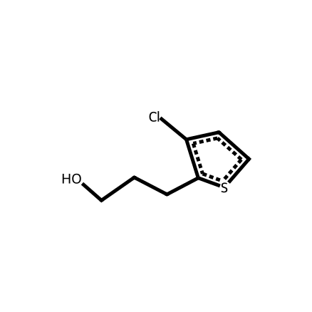 OCCCc1sccc1Cl